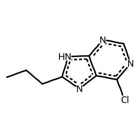 CCCc1nc2c(Cl)ncnc2[nH]1